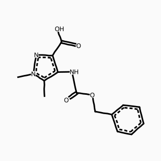 Cc1c(NC(=O)OCc2ccccc2)c(C(=O)O)nn1C